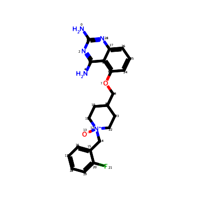 Nc1nc(N)c2c(OCC3CC[N+]([O-])(Cc4ccccc4F)CC3)cccc2n1